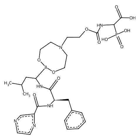 CC(C)CC(NC(=O)[C@@H](Cc1ccccc1)NC(=O)c1cnccn1)B1OCCN(CCOC(=O)NC(C(=O)O)P(=O)(O)O)CCO1